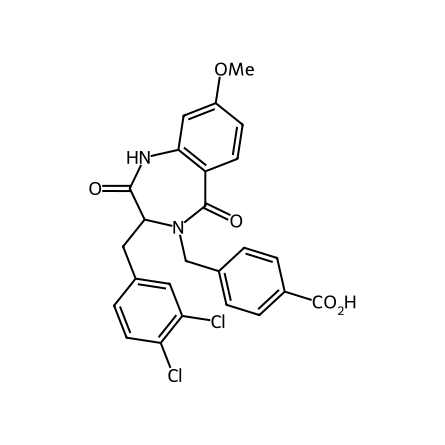 COc1ccc2c(c1)NC(=O)C(Cc1ccc(Cl)c(Cl)c1)N(Cc1ccc(C(=O)O)cc1)C2=O